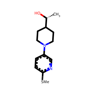 CSc1ccc(N2CCC([C@@H](C)O)CC2)cn1